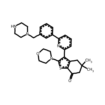 CC1(C)CC(=O)c2sc(N3CCOCC3)c(-c3cccc(-c4cccc(CN5CCNCC5)c4)n3)c2C1